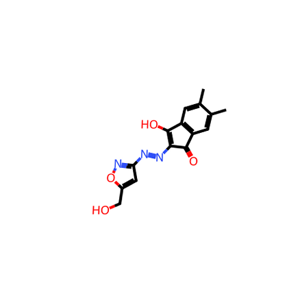 Cc1cc2c(cc1C)C(O)=C(N=Nc1cc(CO)on1)C2=O